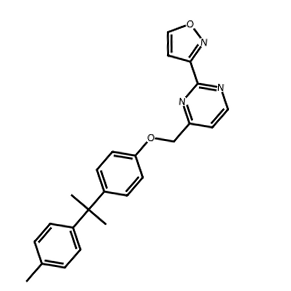 Cc1ccc(C(C)(C)c2ccc(OCc3ccnc(-c4ccon4)n3)cc2)cc1